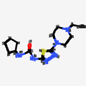 CC(C)(C)CN1CCN(c2nnc(NC(=O)NC3CCCC3)s2)CC1